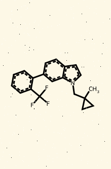 CC1(Cn2ccc3ccc(-c4ccccc4C(F)(F)F)cc32)CC1